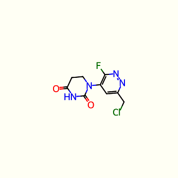 O=C1CCN(c2cc(CCl)nnc2F)C(=O)N1